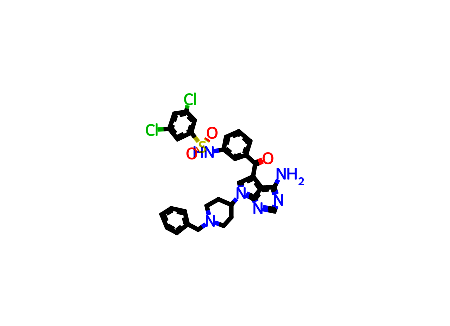 Nc1ncnc2c1c(C(=O)c1cccc(NS(=O)(=O)c3cc(Cl)cc(Cl)c3)c1)cn2C1CCN(Cc2ccccc2)CC1